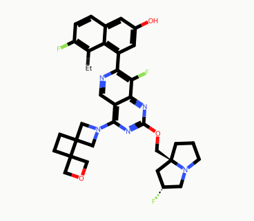 CCc1c(F)ccc2cc(O)cc(-c3ncc4c(N5CC6(CCC67COC7)C5)nc(OC[C@@]56CCCN5C[C@H](F)C6)nc4c3F)c12